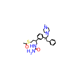 CC(=O)SCCC(CNC(N)=O)c1cccc([C@H](Cc2ccccc2)CN2CCN(C)CC2)c1